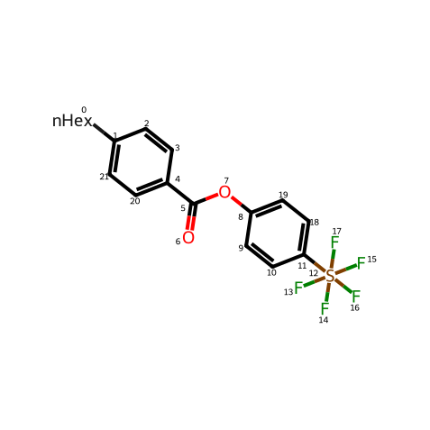 CCCCCCc1ccc(C(=O)Oc2ccc(S(F)(F)(F)(F)F)cc2)cc1